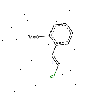 COc1ccccc1/C=C/Cl